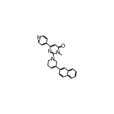 Cn1c(N2CCC=C(c3ccc4ccccc4c3)C2)nc(-c2ccncc2)cc1=O